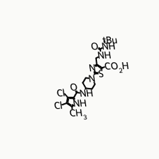 Cc1[nH]c(C(=O)NC2CCN(c3nc(CNC(=O)NC(C)(C)C)c(C(=O)O)s3)CC2)c(Cl)c1Cl